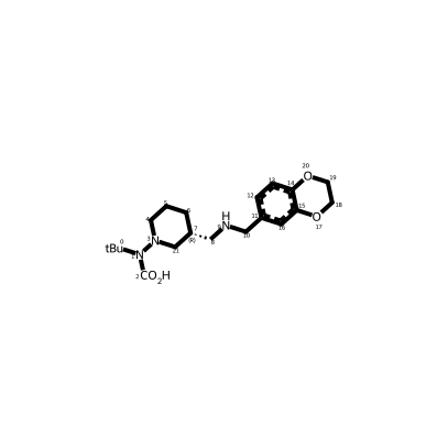 CC(C)(C)N(C(=O)O)N1CCC[C@H](CNCc2ccc3c(c2)OCCO3)C1